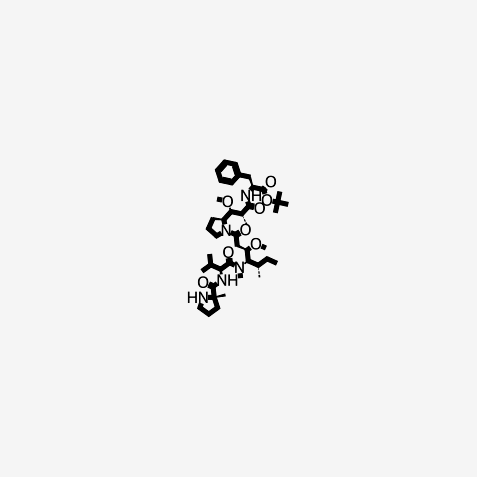 CC[C@H](C)[C@@H]([C@@H](CC(=O)N1CCC[C@H]1[C@H](OC)[C@@H](C)C(=O)N[C@@H](Cc1ccccc1)C(=O)OC(C)(C)C)OC)N(C)C(=O)[C@@H](NC(=O)[C@]1(C)CCCN1)C(C)C